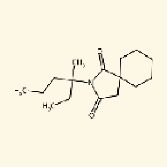 CCCC(C)(CC)N1C(=O)CC2(CCCCC2)C1=O